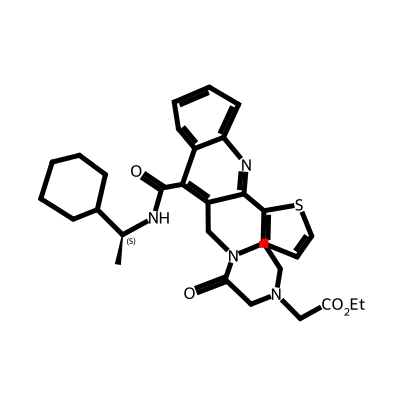 CCOC(=O)CN1CCN(Cc2c(-c3cccs3)nc3ccccc3c2C(=O)N[C@@H](C)C2CCCCC2)C(=O)C1